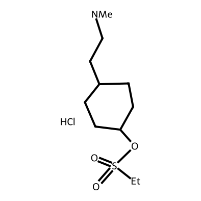 CCS(=O)(=O)OC1CCC(CCNC)CC1.Cl